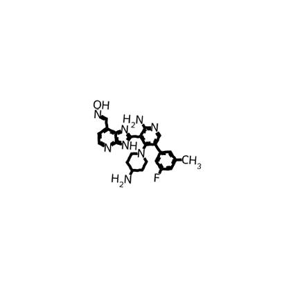 Cc1cc(F)cc(-c2cnc(N)c(-c3nc4c(C=NO)ccnc4[nH]3)c2N2CCC(N)CC2)c1